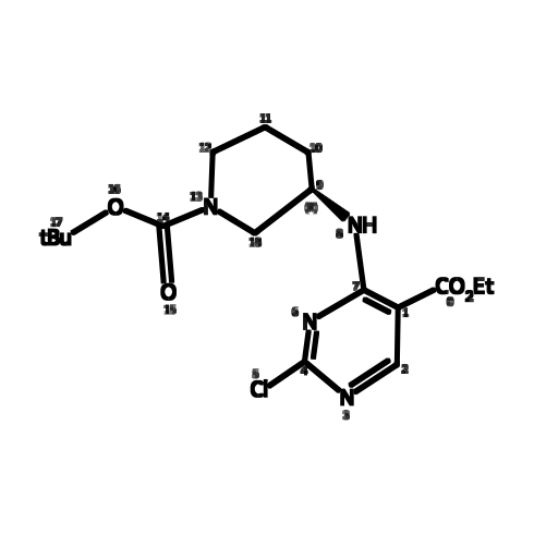 CCOC(=O)c1cnc(Cl)nc1N[C@@H]1CCCN(C(=O)OC(C)(C)C)C1